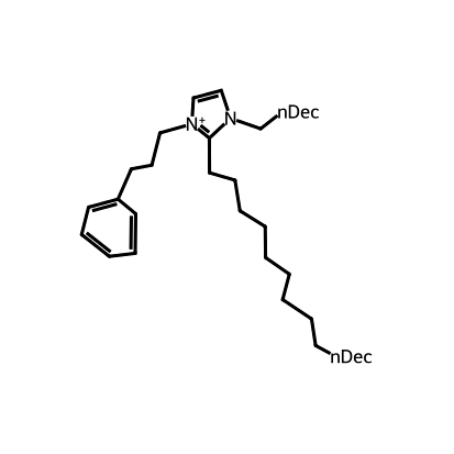 CCCCCCCCCCCCCCCCCCCc1n(CCCCCCCCCCC)cc[n+]1CCCc1ccccc1